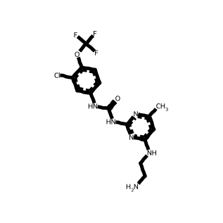 Cc1cc(NCCN)nc(NC(=O)Nc2ccc(OC(F)(F)F)c(Cl)c2)n1